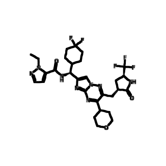 CCn1nccc1C(=O)N[C@H](c1cn2nc(C[C@H]3C[C@@H](C(F)(F)F)NC3=O)c(C3CCOCC3)nc2n1)C1CCC(F)(F)CC1